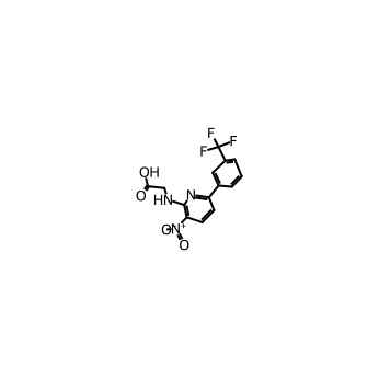 O=C(O)CNc1nc(-c2cccc(C(F)(F)F)c2)ccc1[N+](=O)[O-]